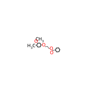 COc1cc(OCCCOC(=O)c2ccccc2)ccc1C